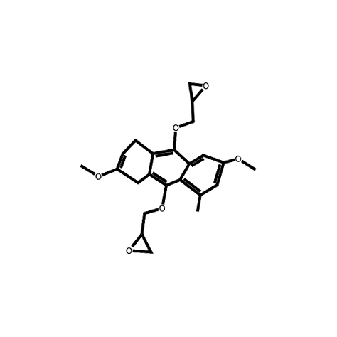 COC1=CCc2c(c(OCC3CO3)c3c(C)cc(OC)cc3c2OCC2CO2)C1